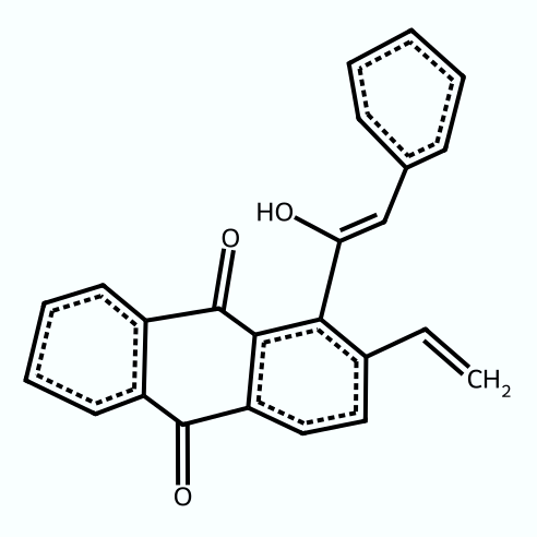 C=Cc1ccc2c(c1C(O)=Cc1ccccc1)C(=O)c1ccccc1C2=O